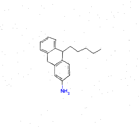 CCCCCC1c2ccccc2Cc2cc(N)ccc21